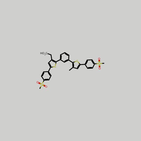 Cc1cc(-c2ccc(S(C)(=O)=O)cc2)sc1-c1cccc(-c2sc(-c3ccc(S(C)(=O)=O)cc3)cc2CC(=O)O)c1